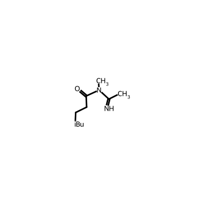 CCC(C)CCC(=O)N(C)C(C)=N